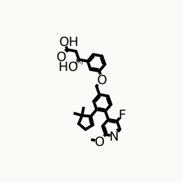 COc1cc(-c2ccc(COc3cccc([C@H](O)CC(=O)O)c3)cc2C2=CCCC2(C)C)c(F)cn1